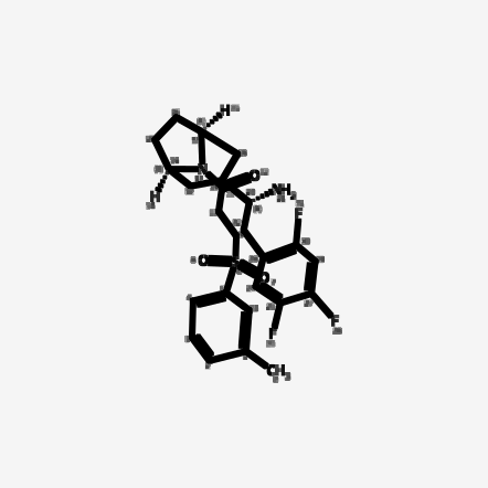 Cc1cccc(S(=O)(=O)CCC(=O)N2[C@@H]3CC[C@H]2CC([C@H](N)Cc2cc(F)c(F)cc2F)C3)c1